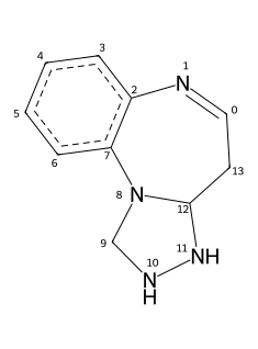 C1=Nc2ccccc2N2CNNC2C1